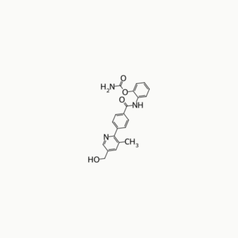 Cc1cc(CO)cnc1-c1ccc(C(=O)Nc2ccccc2OC(N)=O)cc1